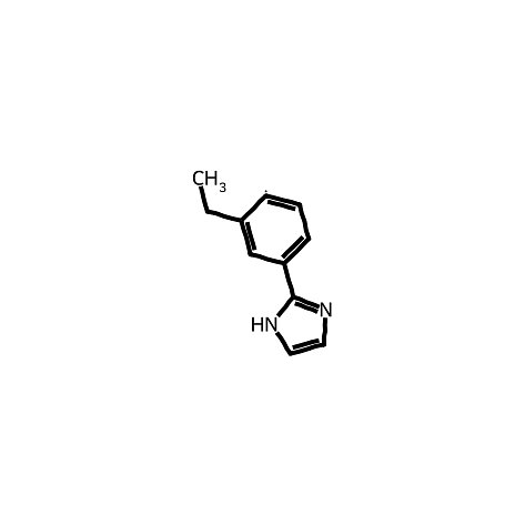 CCc1[c]ccc(-c2ncc[nH]2)c1